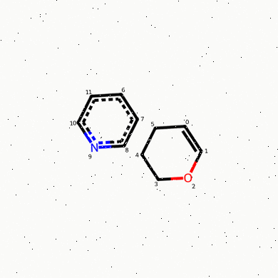 C1=COCCC1.c1ccncc1